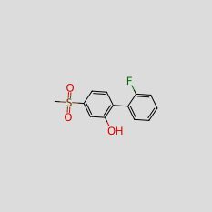 CS(=O)(=O)c1ccc(-c2ccccc2F)c(O)c1